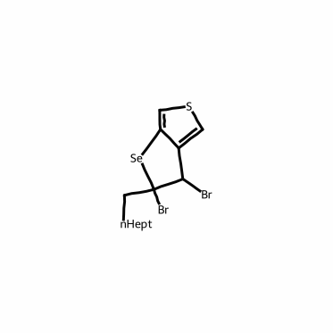 CCCCCCCCC1(Br)[Se]c2cscc2C1Br